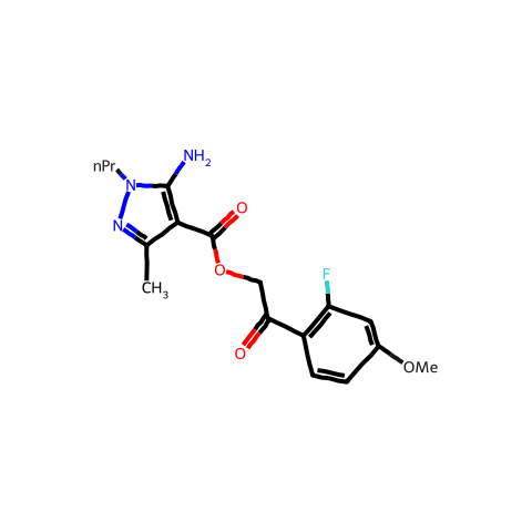 CCCn1nc(C)c(C(=O)OCC(=O)c2ccc(OC)cc2F)c1N